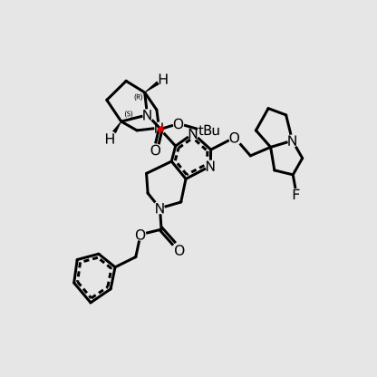 CC(C)(C)OC(=O)N1[C@@H]2CC[C@H]1CN(c1nc(OCC34CCCN3CC(F)C4)nc3c1CCN(C(=O)OCc1ccccc1)C3)C2